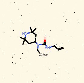 C=CCNC(=O)N(COC)C1CC(C)(C)NC(C)(C)C1